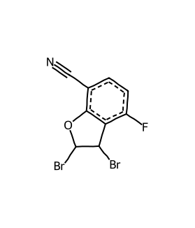 N#Cc1ccc(F)c2c1OC(Br)C2Br